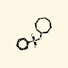 O=S(=O)(OC1CCCCCCC1)c1ccccc1